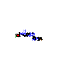 CC(NCC1Cc2cnc(Cn3cnc(-c4cncc(-n5cc6ccsc6c5)c4)n3)cc2N1)C12CC(C1)[C@@H](F)C2